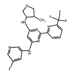 CC1COCC1Nc1cc(Nc2cncc(F)c2)nc(-c2cccc(C(F)(F)F)n2)n1